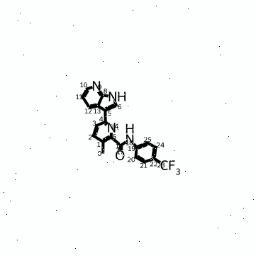 Cc1ccc(-c2c[nH]c3ncccc23)nc1C(=O)Nc1ccc(C(F)(F)F)cc1